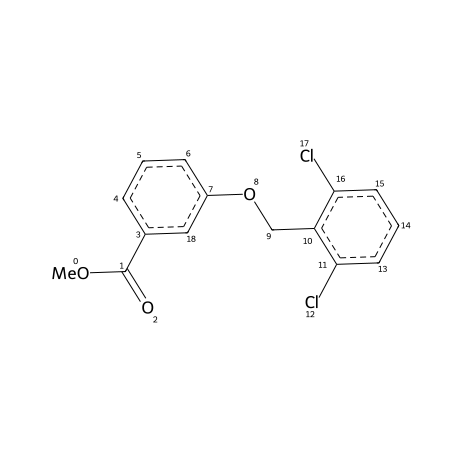 COC(=O)c1cccc(OCc2c(Cl)cccc2Cl)c1